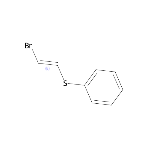 Br/C=C/Sc1ccccc1